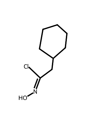 ON=C(Cl)CC1CCCCC1